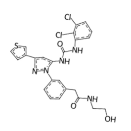 O=C(Cc1cccc(-n2nc(-c3ccsc3)cc2NC(=O)Nc2cccc(Cl)c2Cl)c1)NCCO